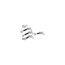 O=[N+]([O-])O.O=[N+]([O-])[O-].O=[N+]([O-])[O-].O=[N+]([O-])[O-].[Dy+3]